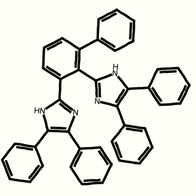 c1ccc(-c2cccc(-c3nc(-c4ccccc4)c(-c4ccccc4)[nH]3)c2-c2nc(-c3ccccc3)c(-c3ccccc3)[nH]2)cc1